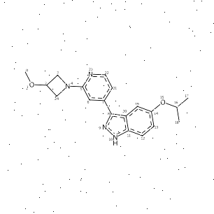 COC1CN(c2cc(-c3n[nH]c4ccc(OC(C)C)cc34)ccn2)C1